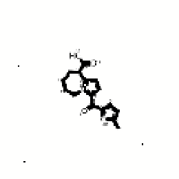 Cc1ccc(C(=O)c2ccc3n2CCCCC3C(=O)O)o1